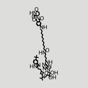 CC(C)N(CC1OC(n2cnc3c(NCCCCNC(=O)CCCCCCCCCCCNc4ccc5c(c4)C(=O)N(C4CCC(=O)NC4=O)C5=O)ncnc32)C(O)C1O)C1CC(CCc2nc3cc(C(C)(C)C)ccc3[nH]2)C1